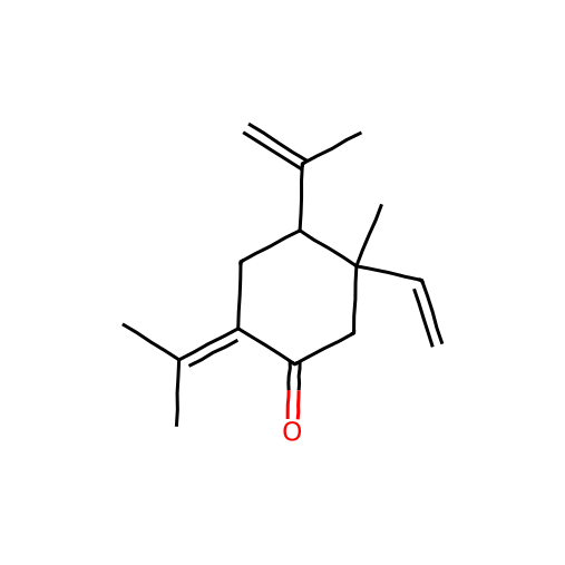 C=CC1(C)CC(=O)C(=C(C)C)CC1C(=C)C